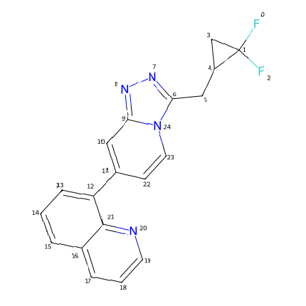 FC1(F)CC1Cc1nnc2cc(-c3cccc4cccnc34)ccn12